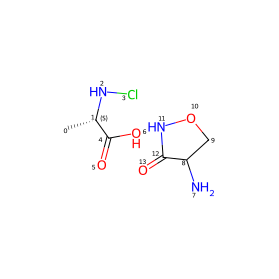 C[C@H](NCl)C(=O)O.NC1CONC1=O